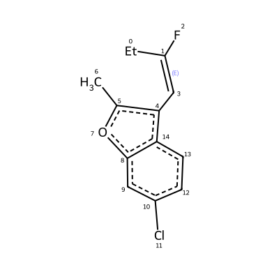 CC/C(F)=C\c1c(C)oc2cc(Cl)ccc12